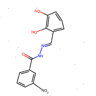 O=C(NN=Cc1cccc(O)c1O)c1cccc([N+](=O)[O-])c1